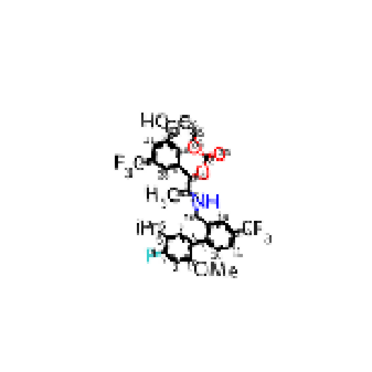 COc1cc(F)c(C(C)C)cc1-c1ccc(C(F)(F)F)cc1CN[C@@H](C)[C@H](OC(=O)OCC(=O)O)c1cc(C(F)(F)F)cc(C(F)(F)F)c1